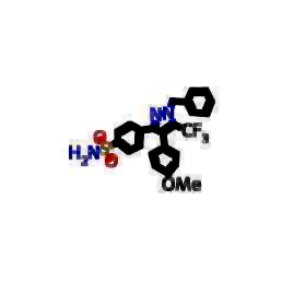 COc1ccc(-c2c(-c3ccc(S(N)(=O)=O)cc3)nn(Cc3ccccc3)c2C(F)(F)F)cc1